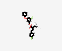 CC(C)C(C=Cc1ccc(F)cc1)C(=O)OCc1cc(F)cc(Oc2ccccc2)c1